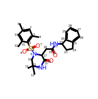 Cc1cc(C)c(S(=O)(=O)N2CC(C)(C)NC(=O)C2CC(=O)NC2CCc3ccccc32)c(C)c1